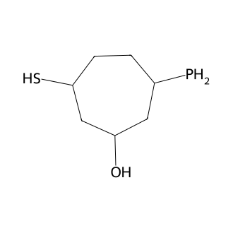 OC1CC(P)CCC(S)C1